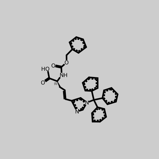 O=C(N[C@@H](CC=Cc1cn(C(c2ccccc2)(c2ccccc2)c2ccccc2)cn1)C(=O)O)OCc1ccccc1